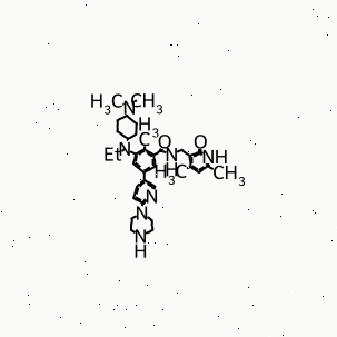 CCN(c1cc(-c2ccc(N3CCNCC3)nc2)cc(C(=O)NCc2c(C)cc(C)[nH]c2=O)c1C)[C@H]1CC[C@H](N(C)C)CC1